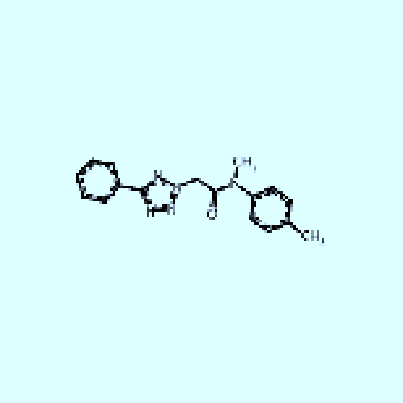 Cc1ccc(N(C)C(=O)Cn2nnc(-c3ccccc3)n2)cc1